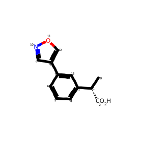 C[C@H](C(=O)O)c1cccc(-c2cnoc2)c1